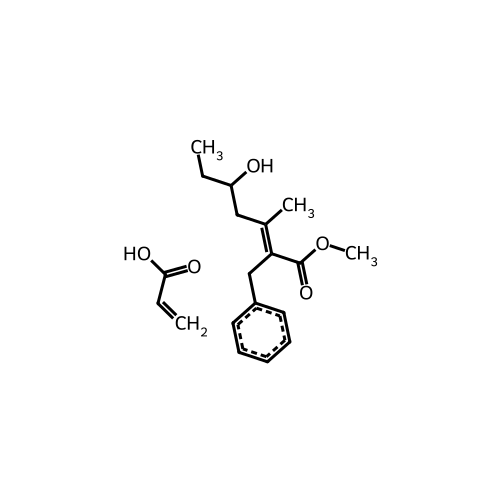 C=CC(=O)O.CCC(O)CC(C)=C(Cc1ccccc1)C(=O)OC